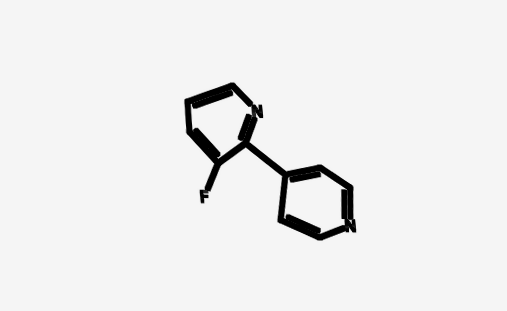 Fc1cccnc1-c1ccncc1